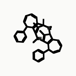 CC1=C2C3=C(C=CC=CC3c3ccccc3)[CH]1[Hf][C]1(C)C(C)=C(C3=C1C=CC=CC3c1ccccc1)[SiH]2C